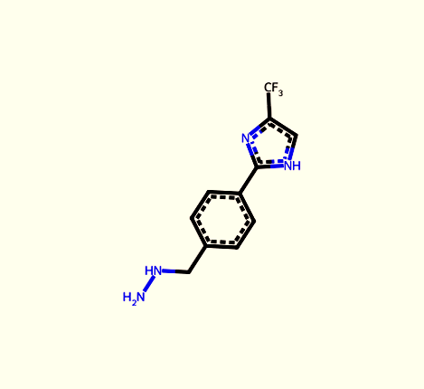 NNCc1ccc(-c2nc(C(F)(F)F)c[nH]2)cc1